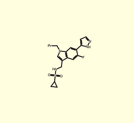 CC(C)Cn1cc(CNS(=O)(=O)C2CC2)c2cc(F)c(-c3ccn[nH]3)cc21